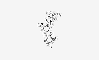 CN(C)S(=O)(=O)NC(=O)c1cc(Oc2c(F)cc(C(F)(F)F)cc2Cl)ccc1[N+](=O)[O-]